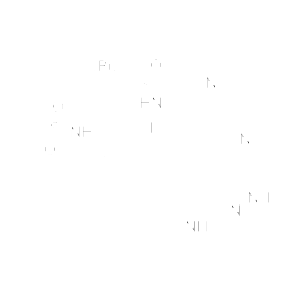 CC(C)(C)CC(=O)Nc1cncc(-c2cc3c(-c4cc5c(-c6cc(F)cc(CNS(C)(=O)=O)c6)cccc5[nH]4)n[nH]c3cn2)c1